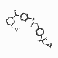 CCOC(=O)C1CCCN(C(=O)c2ccc(NC(=O)Cc3ccc(S(=O)(=O)CC4CC4)cc3)cc2)C1